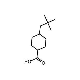 CC(C)(C)CC1CCC(C(=O)O)CC1